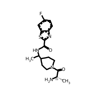 CC(NC(=O)c1nc2ccc(F)cc2s1)C1CCN(C(=O)[C@H](C)N)CC1